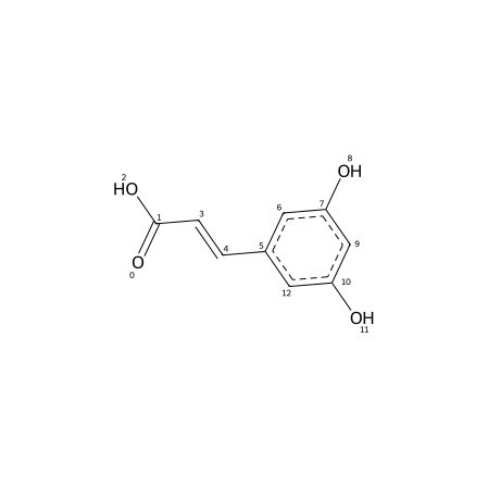 O=C(O)C=Cc1cc(O)cc(O)c1